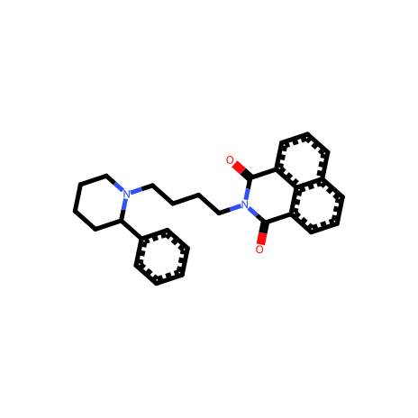 O=C1c2cccc3cccc(c23)C(=O)N1CCCCN1CCCCC1c1ccccc1